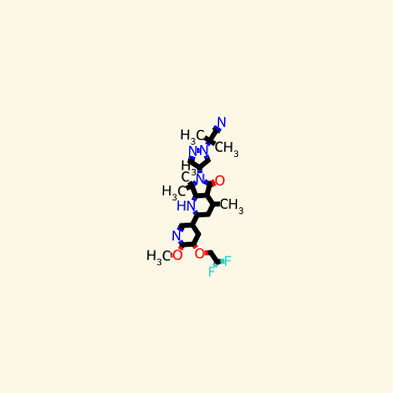 COC1N=CC(C2CC(C)C3C(=O)N(C4C=NN(C(C)(C)C#N)C4)C(C)(C)C3N2)CC1OCC(F)F